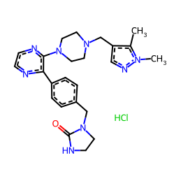 Cc1c(CN2CCN(c3nccnc3-c3ccc(CN4CCNC4=O)cc3)CC2)cnn1C.Cl